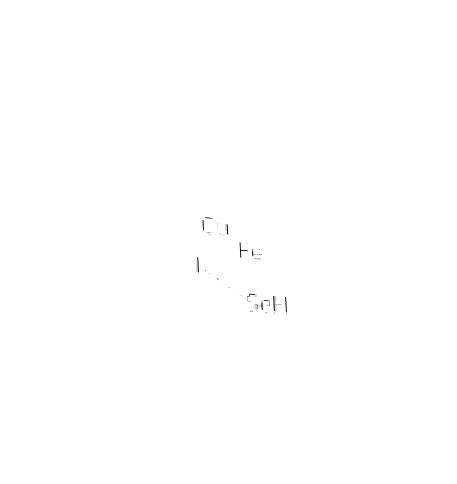 [Cu].[Fe].[SeH]I